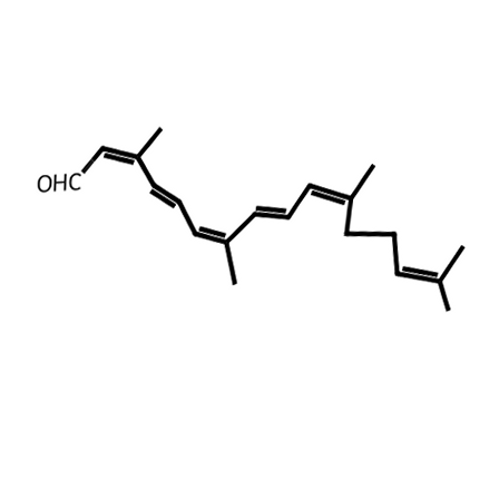 CC(C)=CCCC(C)=CC=CC(C)=CC=CC(C)=CC=O